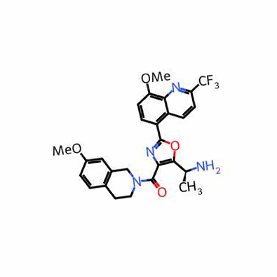 COc1ccc2c(c1)CN(C(=O)c1nc(-c3ccc(OC)c4nc(C(F)(F)F)ccc34)oc1[C@H](C)N)CC2